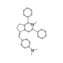 CN(C)c1ccc(/C=C2/CCc3c2cc(-c2ccccc2)[n+](C)c3-c2ccccc2)cc1